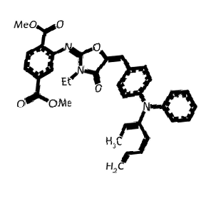 C=C/C=C\C(=C/C)N(c1ccccc1)c1ccc(/C=C2/O/C(=N/c3cc(C(=O)OC)ccc3C(=O)OC)N(CC)C2=O)cc1